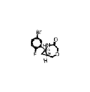 O=C1COC[C@H]2C[C@]2(c2cc(Br)ccc2F)N1